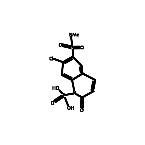 CNS(=O)(=O)c1cc2c[c]c(=O)n(P(=O)(O)O)c2cc1Cl